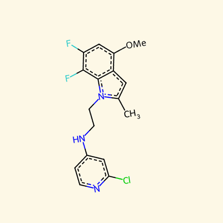 COc1cc(F)c(F)c2c1cc(C)n2CCNc1ccnc(Cl)c1